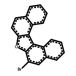 Brc1cc2ccccc2c2c1oc1ccc3ccccc3c12